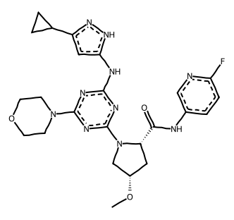 CO[C@H]1C[C@@H](C(=O)Nc2ccc(F)nc2)N(c2nc(Nc3cc(C4CC4)n[nH]3)nc(N3CCOCC3)n2)C1